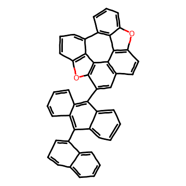 c1ccc2c(-c3c4ccccc4c(-c4cc5ccc6oc7cccc8c7c6c5c5c4oc4cccc-8c45)c4ccccc34)cccc2c1